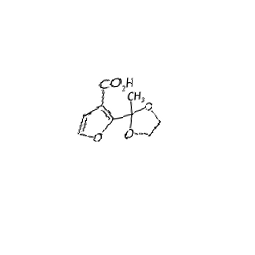 CC1(c2occc2C(=O)O)OCCO1